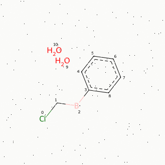 ClC[B]c1ccccc1.O.O